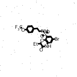 CCC1Oc2c(cc(Br)cc2S(=O)(=O)NCCc2ccc(OC(F)(F)F)cc2)NC1=O